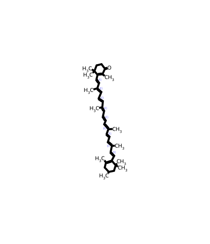 CC1=C(/C=C/C(C)=C/C=C/C(C)=C/C=C/C=C(C)/C=C/C=C(C)/C=C/C2=C(C)C(=O)CCC2(C)C)C(C)(C)CC(C)C1